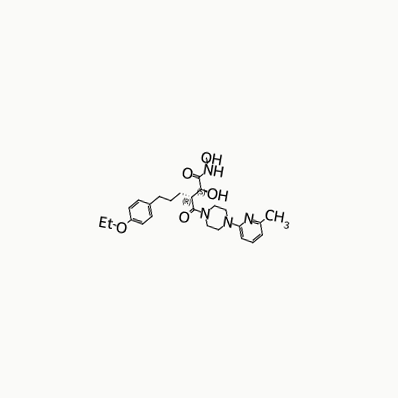 CCOc1ccc(CCC[C@@H](C(=O)N2CCN(c3cccc(C)n3)CC2)[C@H](O)C(=O)NO)cc1